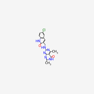 Cc1nc2nc(NCc3cc4cc(Cl)ccc4[nH]c3=O)nc(C)c2c(=O)[nH]1